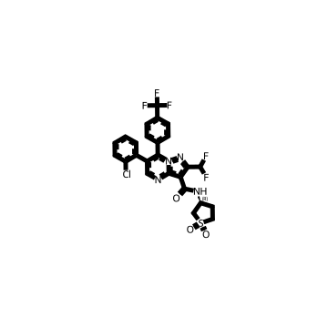 O=C(N[C@@H]1CCS(=O)(=O)C1)c1c(C(F)F)nn2c(-c3ccc(C(F)(F)F)cc3)c(-c3ccccc3Cl)cnc12